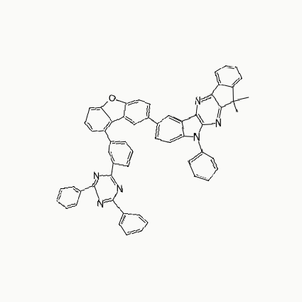 CC1(C)c2ccccc2-c2nc3c4cc(-c5ccc6oc7cccc(-c8cccc(-c9nc(-c%10ccccc%10)nc(-c%10ccccc%10)n9)c8)c7c6c5)ccc4n(-c4ccccc4)c3nc21